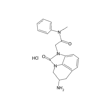 CN(C(=O)Cn1c(=O)n2c3c(cccc31)CC(N)C2)c1ccccc1.Cl